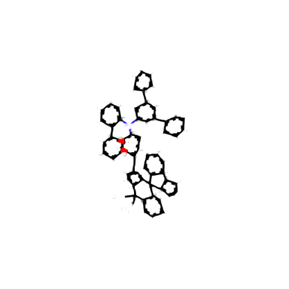 CC1(C)c2ccccc2C2(c3ccccc3-c3ccccc32)c2cc(-c3ccc(N(c4cc(-c5ccccc5)cc(-c5ccccc5)c4)c4ccccc4-c4ccccc4)cc3)ccc21